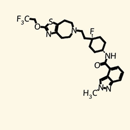 Cn1cc2c(C(=O)N[C@H]3CC[C@](F)(CCN4CCc5nc(OCC(F)(F)F)sc5CC4)CC3)cccc2n1